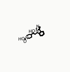 O=C(O)N1CCC([C@H](O)CC2c3ccccc3-c3cncn32)CC1